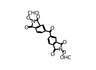 O=CON1C(=O)c2ccc(C(=O)c3ccc4c(c3)C(=O)N(OC=O)C4=O)cc2C1=O